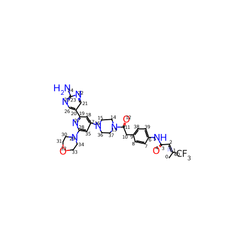 C/C(=C\C(=O)Nc1ccc(CC(=O)N2CCN(c3cc(-c4cnc(N)nc4)nc(N4CCOCC4)c3)CC2)cc1)C(F)(F)F